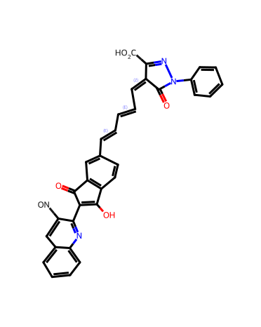 O=Nc1cc2ccccc2nc1C1=C(O)c2ccc(/C=C/C=C/C=C3\C(=O)N(c4ccccc4)N=C3C(=O)O)cc2C1=O